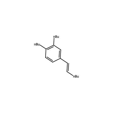 CCCCC=Cc1ccc(CCCC)c(CCCC)c1